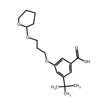 CC(C)(C)c1cc(OCCCOC2CCCCO2)cc(C(=O)O)c1